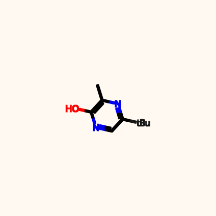 Cc1nc(C(C)(C)C)cnc1O